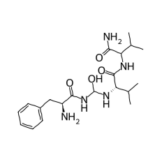 CC(C)C(NC(=O)[C@@H](NC(O)NC(=O)[C@@H](N)Cc1ccccc1)C(C)C)C(N)=O